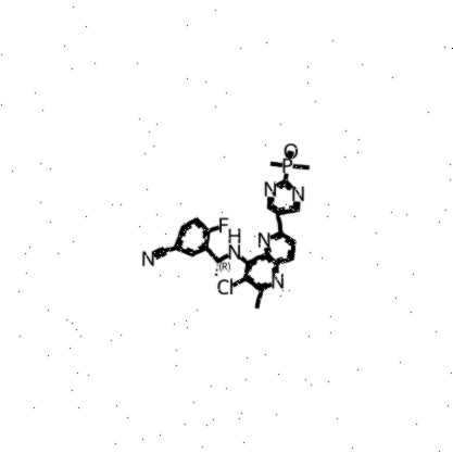 Cc1nc2ccc(-c3cnc(P(C)(C)=O)nc3)nc2c(N[C@H](C)c2cc(C#N)ccc2F)c1Cl